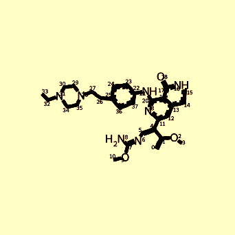 C=C(OC)/C(=C\N=C(/N)OC)c1cc2cc[nH]c(=O)c2c(Nc2ccc(CCN3CCN(CC)CC3)cc2)n1